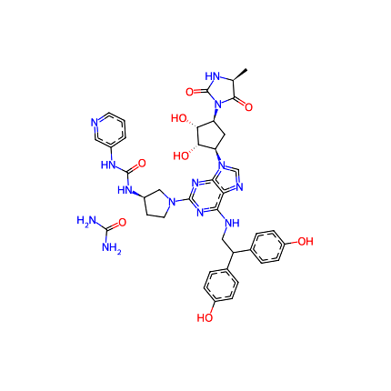 C[C@@H]1NC(=O)N([C@H]2C[C@@H](n3cnc4c(NCC(c5ccc(O)cc5)c5ccc(O)cc5)nc(N5CC[C@@H](NC(=O)Nc6cccnc6)C5)nc43)[C@H](O)[C@@H]2O)C1=O.NC(N)=O